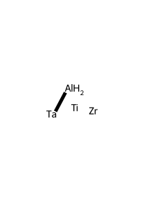 [AlH2][Ta].[Ti].[Zr]